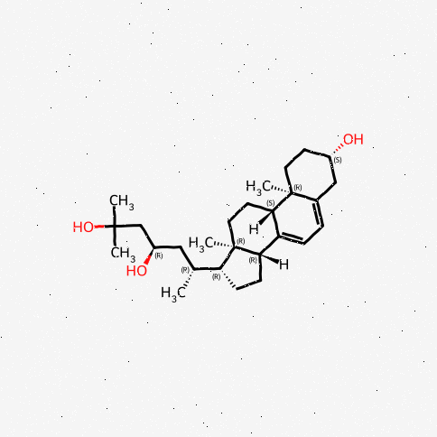 C[C@H](C[C@@H](O)CC(C)(C)O)[C@H]1CC[C@H]2C3=CC=C4C[C@@H](O)CC[C@]4(C)[C@H]3CC[C@]12C